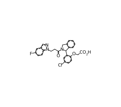 O=C(O)COc1ccc(Cl)cc1C1c2ccccc2CN1C(=O)CCn1ncc2cc(F)ccc21